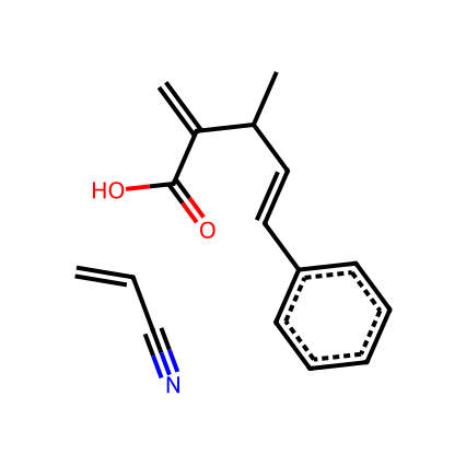 C=C(C(=O)O)C(C)C=Cc1ccccc1.C=CC#N